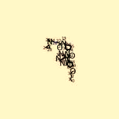 CCCCOc1ccc(-n2c(=O)n(-c3cccc(N(C)C(=O)/C=C/CN(C)C4CC4)c3)c3ncnc(N)c32)cc1